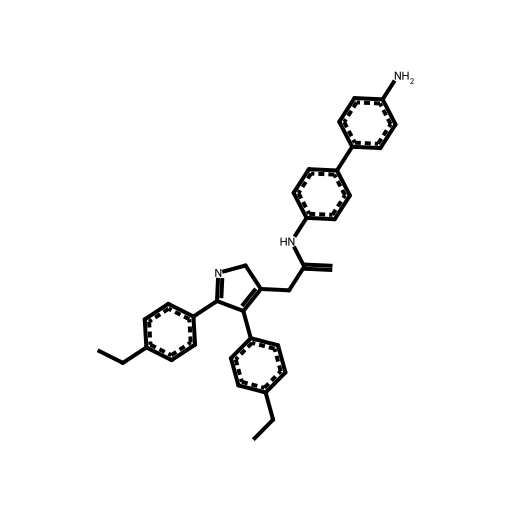 C=C(CC1=C(c2ccc(CC)cc2)C(c2ccc(CC)cc2)=NC1)Nc1ccc(-c2ccc(N)cc2)cc1